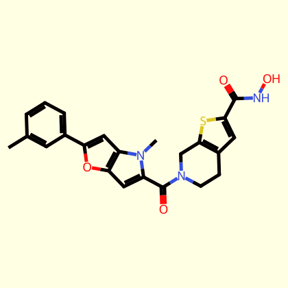 Cc1cccc(-c2cc3c(cc(C(=O)N4CCc5cc(C(=O)NO)sc5C4)n3C)o2)c1